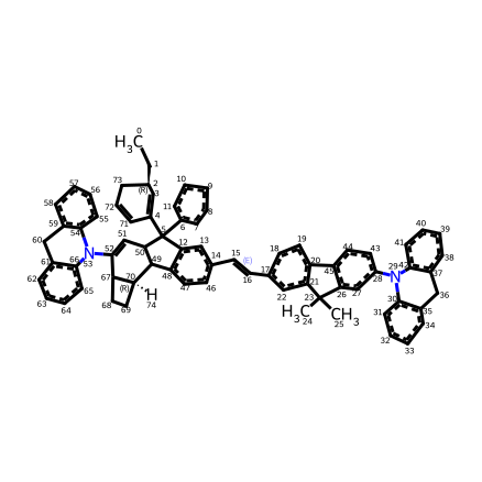 CC[C@H]1C=C(C2(c3ccccc3)c3cc(/C=C/c4ccc5c(c4)C(C)(C)c4cc(N6c7ccccc7Cc7ccccc76)ccc4-5)ccc3C3C2C=C(N2c4ccccc4Cc4ccccc42)C2CC[C@@H]23)C=CC1